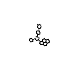 c1ccc(-c2cc(-c3ccc4ccc5cccc6ccc3c4c56)nc(-c3ccc(-c4cncnc4)cc3)n2)cc1